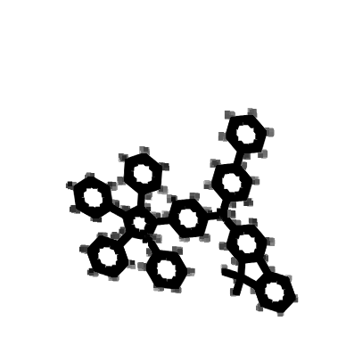 CC1(C)c2ccccc2-c2ccc(N(c3ccc(-c4ccccc4)cc3)c3ccc(-c4c(-c5ccccc5)c(-c5ccccc5)c(-c5ccccc5)n4-c4ccccc4)cc3)cc21